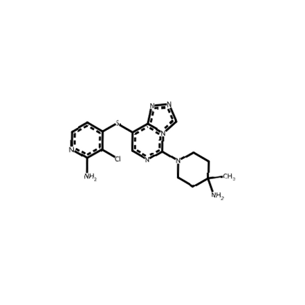 CC1(N)CCN(c2ncc(Sc3ccnc(N)c3Cl)c3nncn23)CC1